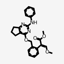 CO/C=C(/C(=O)OC)c1ccccc1COc1nc(Nc2ccccc2)nc2c1CCC2